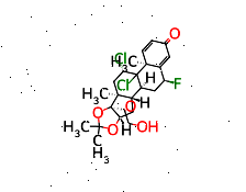 CC1(C)O[C@H]2C[C@H]3[C@@H]4C[C@H](F)C5=CC(=O)C=C[C@]5(C)C4(Cl)[C@@H](Cl)C[C@]3(C)[C@]2(C(=O)CO)O1